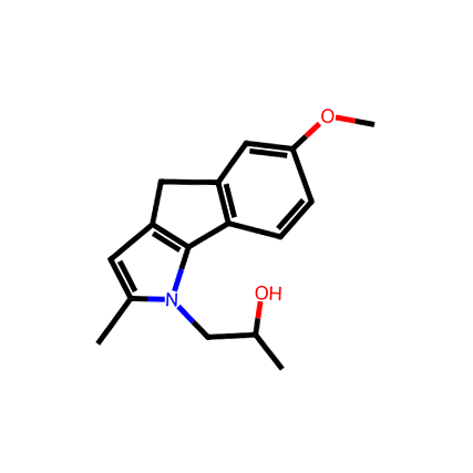 COc1ccc2c(c1)Cc1cc(C)n(CC(C)O)c1-2